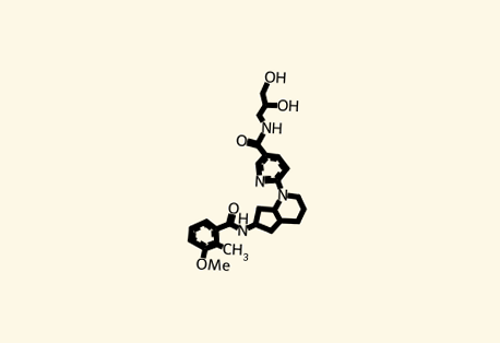 COc1cccc(C(=O)NC2CC3CCCN(c4ccc(C(=O)NCC(O)CO)cn4)C3C2)c1C